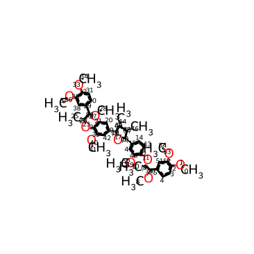 COc1ccc([C@@H](OC)[C@@H](C)Oc2ccc([C@H]3O[C@H](c4ccc(O[C@H](C)[C@H](OC)c5ccc(OC)c(OC)c5)c(OC)c4)[C@H](C)[C@H]3C)cc2OC)cc1OC